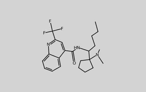 CCCCC(NC(=O)c1cc(C(F)(F)F)nc2ccccc12)C1(N(C)C)CCCC1